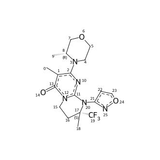 Cc1c(N2CCOC[C@H]2C)nc2n(c1=O)CC[C@@](C)(C(F)(F)F)N2c1ccon1